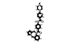 CN1CCN(c2ccc(C(=O)Nc3ccc(C(=O)N4Cc5cccn5Cc5ccccc54)cc3)cn2)CC1